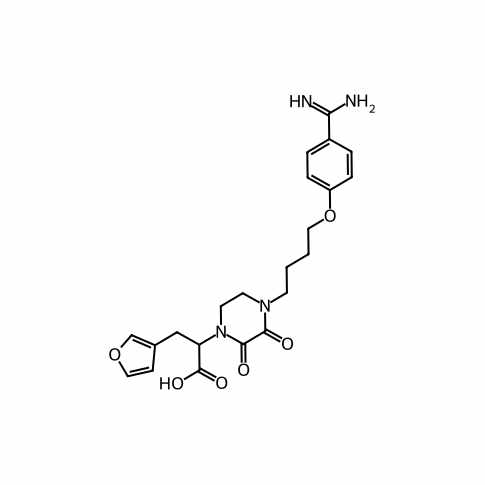 N=C(N)c1ccc(OCCCCN2CCN(C(Cc3ccoc3)C(=O)O)C(=O)C2=O)cc1